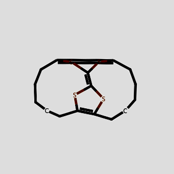 C1CCC2=C3CCCCCC4=C(CC1)SC(=C(S2)S3)S4